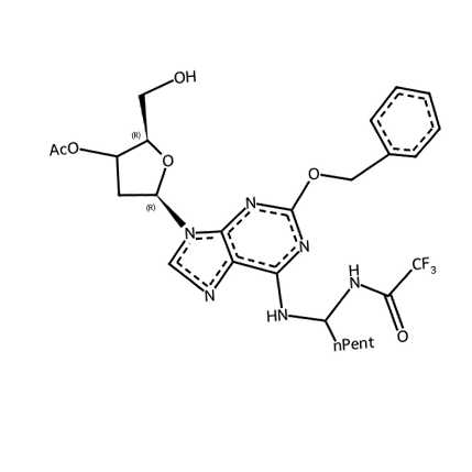 CCCCCC(NC(=O)C(F)(F)F)Nc1nc(OCc2ccccc2)nc2c1ncn2[C@H]1CC(OC(C)=O)[C@@H](CO)O1